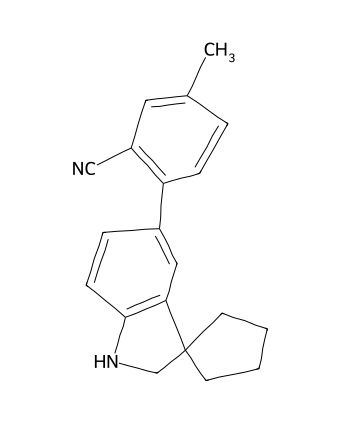 Cc1ccc(-c2ccc3c(c2)C2(CCCC2)CN3)c(C#N)c1